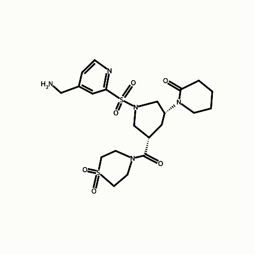 NCc1ccnc(S(=O)(=O)N2C[C@@H](C(=O)N3CCS(=O)(=O)CC3)C[C@@H](N3CCCCC3=O)C2)c1